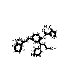 Cc1ccsc1C(=O)Nc1ccc(/C=C/c2n[nH]c3ccccc23)cc1C(CCO)N1CCNCC1